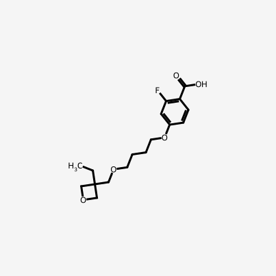 CCC1(COCCCCOc2ccc(C(=O)O)c(F)c2)COC1